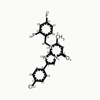 Cc1cc(=O)n2cc(-c3ccc(Cl)cc3)nc2n1Cc1ccc(F)cc1F